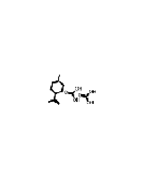 C=C(C)C1CC=C(C)CC1.O=C(O)O.O=C(O)O